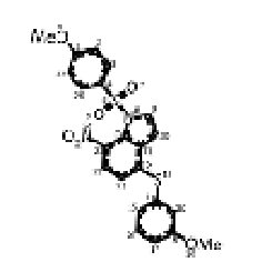 COc1ccc(S(=O)(=O)n2ccc3c(Sc4cccc(OC)c4)ccc([N+](=O)[O-])c32)cc1